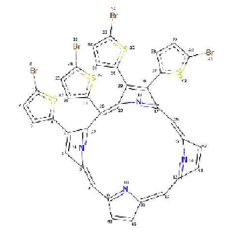 Brc1ccc(C2=CC3=CC4=NC(=CC5=NC(=CC6=NC(=C(c7ccc(Br)s7)C2=N3)C(c2ccc(Br)s2)=C6c2ccc(Br)s2)C=C5)C=C4)s1